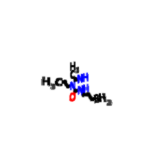 BCCCNC(=O)N(CCC)C(C)=N